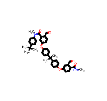 CNC(=O)c1ccc(Oc2ccc(C(C)(C)c3ccc(Oc4ccc(C=O)c(C(=O)N(C)c5ccc(C(C)(C)C)cc5)c4)cc3)cc2)cc1C=O